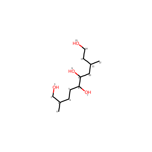 CC(CO)CCC(O)C(O)CC(C)CCO